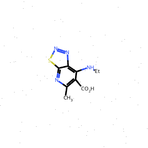 CCNc1c(C(=O)O)c(C)nc2snnc12